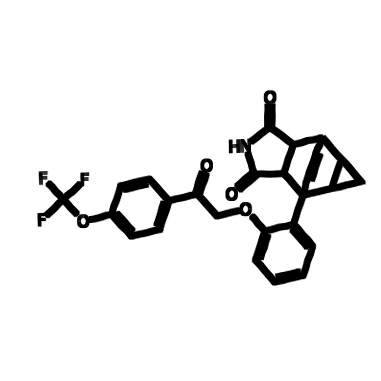 O=C(COc1ccccc1C12C=CC(C3CC31)C1C(=O)NC(=O)C12)c1ccc(OC(F)(F)F)cc1